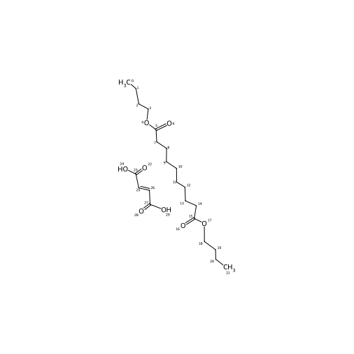 CCCCOC(=O)CCCCCCCCC(=O)OCCCC.O=C(O)C=CC(=O)O